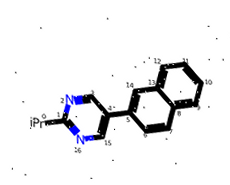 CC(C)c1ncc(-c2ccc3ccccc3c2)cn1